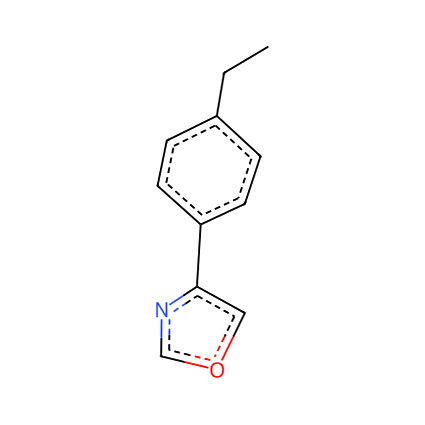 CCc1ccc(-c2cocn2)cc1